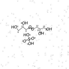 O=S(=O)(O)O.OCC(O)COOCC(O)CO